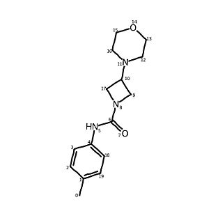 Cc1ccc(NC(=O)N2CC(N3CCOCC3)C2)cc1